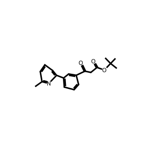 Cc1cccc(-c2cccc(C(=O)CC(=O)OC(C)(C)C)c2)n1